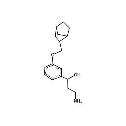 NCCC(O)c1cccc(OCC2CC3CCC2C3)c1